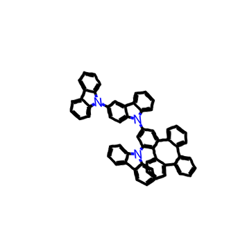 c1ccc2c(c1)-c1ccccc1-c1cc(-n3c4ccccc4c4cc(-n5c6ccccc6c6ccccc65)ccc43)cc(-n3c4ccccc4c4ccccc43)c1-c1ccccc1-2